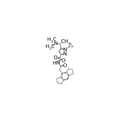 CC(c1cc(S(=O)(=O)NC(=O)Cc2c3c(cc4c2CCC4)CCC3)nn1C1CC1)N(C)C